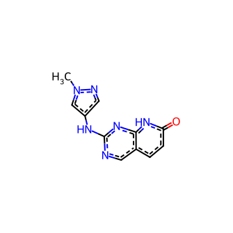 Cn1cc(Nc2ncc3ccc(=O)[nH]c3n2)cn1